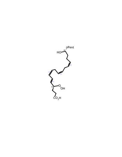 CCCCC[C@@H](O)CC/C=C\C/C=C\C/C=C\C=C\[C@H](CCC(=O)O)OO